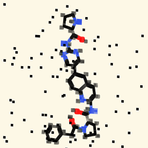 O=C(Nc1ncc(-c2ccc3nc(NC(=O)[C@@H]4CCCN4C(=O)Cc4ccccc4)ccc3c2)cn1)[C@@H]1CCCN1